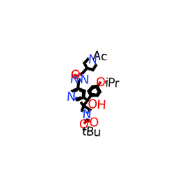 CC(=O)N1CCC(c2nc(-c3cncc([C@@](O)(c4ccc(OC(C)C)cc4)C4(C)CN(C(=O)OC(C)(C)C)C4)c3)no2)CC1